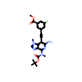 COC(=O)c1cc(F)cc(C#Cc2c(N)nc(N(C)C(=O)OC(C)(C)C)c3ncn(C)c23)c1